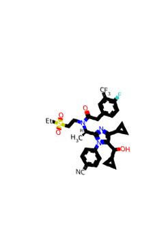 CCS(=O)(=O)CCN(C(=O)Cc1ccc(F)c(C(F)(F)F)c1)[C@H](C)c1nc(C2CC2)c(C(O)C2CC2)n1-c1ccc(C#N)cc1